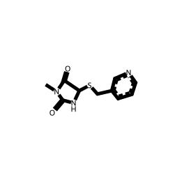 CN1C(=O)NC(SCc2cccnc2)C1=O